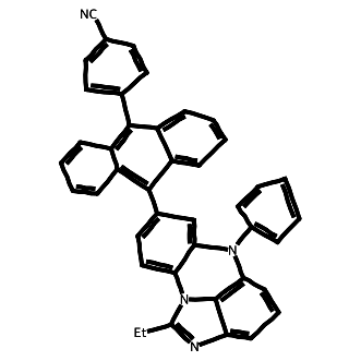 CCc1nc2cccc3c2n1-c1ccc(-c2c4ccccc4c(-c4ccc(C#N)cc4)c4ccccc24)cc1N3c1ccccc1